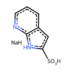 O=S(=O)(O)c1cc2cccnc2[nH]1.[NaH]